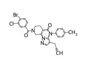 C#CCc1cnn2c3c(c(=O)n(-c4ccc(C)cc4)c12)CCN(C(=O)c1ccc(Br)c(Cl)c1)C3